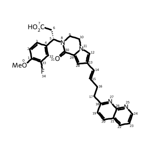 COc1ccc([C@H](CC(=O)O)N2CCn3cc(/C=C/CCc4ccc5cccnc5n4)cc3C2=O)cc1F